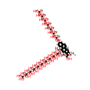 C[C@@H]1C[C@H]2[C@@H]3CCC4=CC(=O)C=C[C@]4(C)[C@@]3(F)[C@@H](O)C[C@]2(C)[C@@]1(O)C(=O)CO.O=C(O)O.O=C(O)O.O=C(O)O.O=C(O)O.O=C(O)O.O=C(O)O.O=C(O)O.O=C(O)O.O=C(O)O.O=C(O)O.O=C(O)O.O=C(O)O.O=C(O)O.O=C(O)O.O=C(O)O.O=C(O)O.O=C(O)O